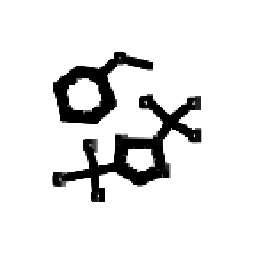 COc1ccccc1.ClC(Cl)(Cl)c1cnn(C(Cl)(Cl)Cl)n1